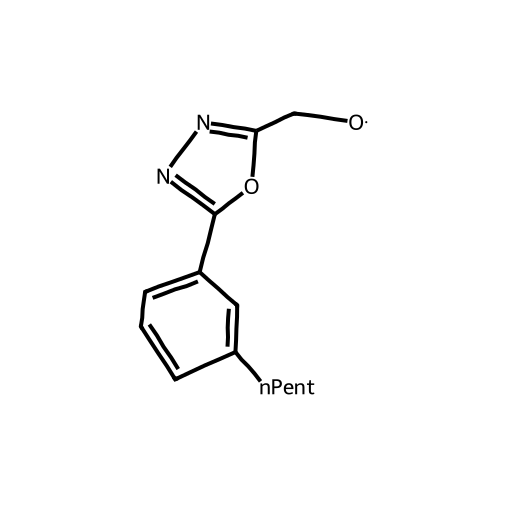 CCCCCc1cccc(-c2nnc(C[O])o2)c1